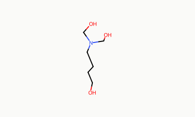 OCCCCN(CO)CO